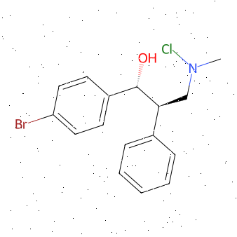 CN(Cl)C[C@@H](c1ccccc1)[C@@H](O)c1ccc(Br)cc1